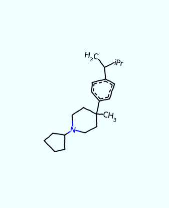 CC(C)C(C)c1ccc(C2(C)CCN(C3CCCC3)CC2)cc1